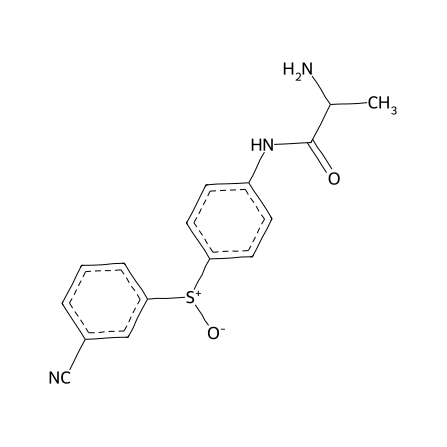 CC(N)C(=O)Nc1ccc([S+]([O-])c2cccc(C#N)c2)cc1